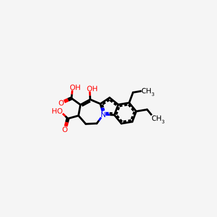 CCc1ccc2c(cc3n2CCC(C(=O)O)C(C(=O)O)=C3O)c1CC